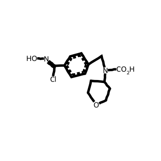 O=C(O)N(Cc1ccc(C(Cl)=NO)cc1)C1CCOCC1